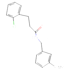 COc1cccc([C@@H](C)NC(=O)CCc2ccccc2Cl)c1